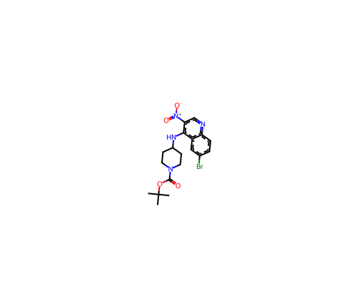 CC(C)(C)OC(=O)N1CCC(Nc2c([N+](=O)[O-])cnc3ccc(Br)cc23)CC1